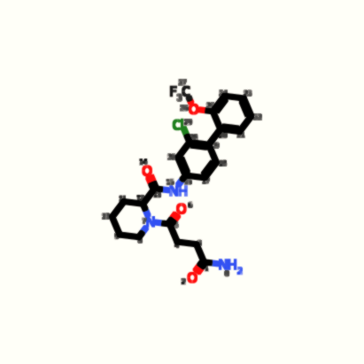 NC(=O)CCC(=O)N1CCCCC1C(=O)Nc1ccc(-c2ccccc2OC(F)(F)F)c(Cl)c1